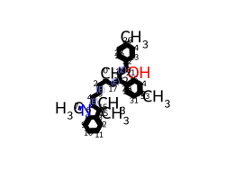 C=C(/C=C/C=C1/N(C)c2ccccc2C1(C)C)/C=C(\C=C(/O)c1ccc(C)cc1)c1ccc(C)cc1